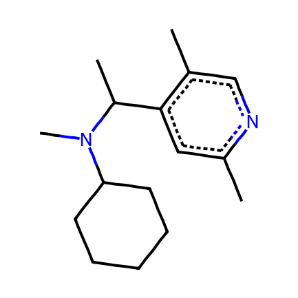 Cc1cc(C(C)N(C)C2CCCCC2)c(C)cn1